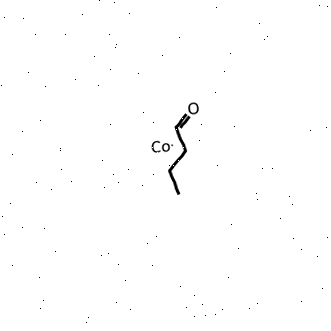 CCCC=O.[Co]